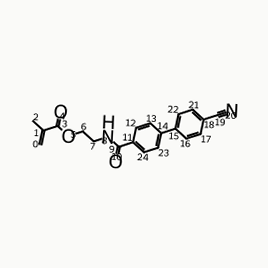 C=C(C)C(=O)OCCNC(=O)c1ccc(-c2ccc(C#N)cc2)cc1